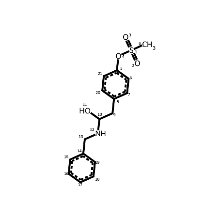 CS(=O)(=O)Oc1ccc(CC(O)NCc2ccccc2)cc1